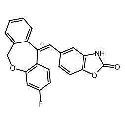 O=c1[nH]c2cc(/C=C3/c4ccccc4COc4cc(F)ccc43)ccc2o1